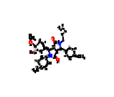 CCCCN1C(=O)C2=C(c3ccc(OC)c(Br)c3)N(c3ccc(C)cc3)C(=O)C2=C1c1ccc(C)cc1